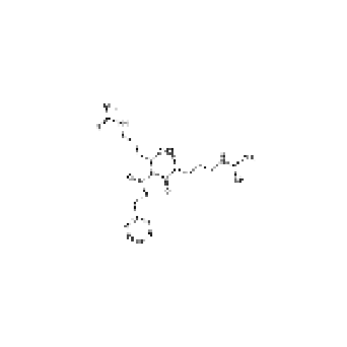 N=C(N)NCCC[C@@H]([C]=O)N(C(=O)OCc1ccccc1)C(=O)[C@@H](N)CCCNC(=N)N